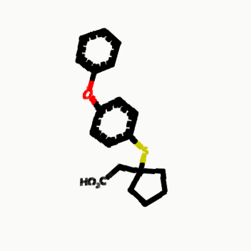 O=C(O)CC1(Sc2ccc(Oc3ccccc3)cc2)CCCC1